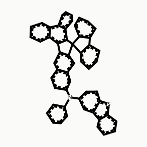 c1ccc(N(c2ccc3cc4c(cc3c2)C2(c3ccccc3-c3ccccc32)c2c-4c3ccccc3c3ccccc23)c2ccc3sc4ccccc4c3c2)cc1